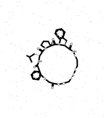 CC(C)C[C@H]1NC(=O)c2ccccc2OCC(=O)OCCCCCCCCNC(=O)[C@H](Cc2ccccc2)N(C)C(=O)[C@H]2CCCN2C1=O